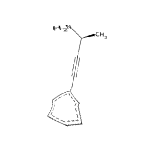 C[C@H](N)C#Cc1ccccc1